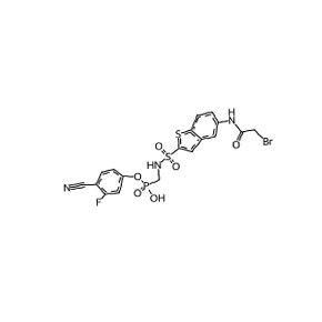 N#Cc1ccc(OP(=O)(O)CNS(=O)(=O)c2cc3cc(NC(=O)CBr)ccc3s2)cc1F